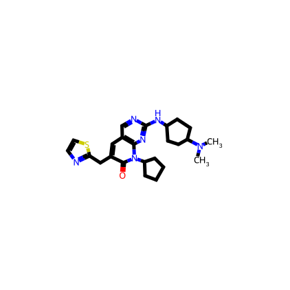 CN(C)C1CCC(Nc2ncc3cc(Cc4nccs4)c(=O)n(C4CCCC4)c3n2)CC1